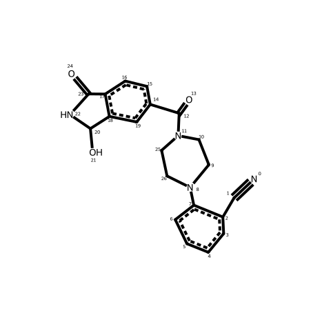 N#Cc1ccccc1N1CCN(C(=O)c2ccc3c(c2)C(O)NC3=O)CC1